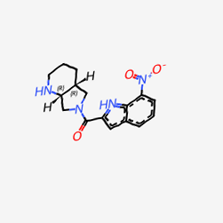 O=C(c1cc2cccc([N+](=O)[O-])c2[nH]1)N1C[C@H]2CCCN[C@H]2C1